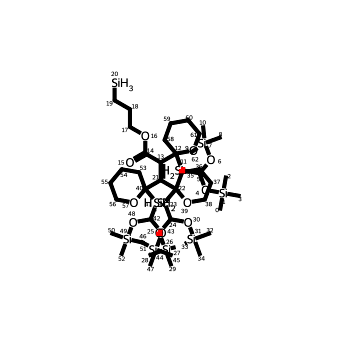 C[Si](C)(C)OC(O[Si](C)(C)C)[SiH2]C1(C(C(=O)OCCC[SiH3])=C(C2([SiH2]C(O[Si](C)(C)C)O[Si](C)(C)C)CCCCO2)C2([SiH2]C(O[Si](C)(C)C)O[Si](C)(C)C)CCCCO2)CCCCO1